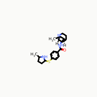 CC1CCC(Sc2ccc(C(=O)N[C@@H]3C4CCN(CC4)[C@H]3C)cc2)N1